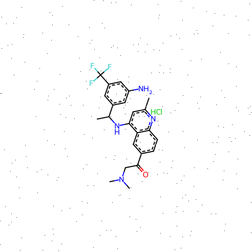 Cc1cc(NC(C)c2cc(N)cc(C(F)(F)F)c2)c2cc(C(=O)CN(C)C)ccc2n1.Cl